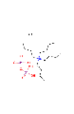 CCCC[N+](CCCC)(CCCC)CCCC.O=P(O)(O)OP(=O)(O)O.[KH]